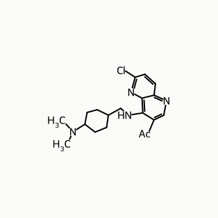 CC(=O)c1cnc2ccc(Cl)nc2c1NCC1CCC(N(C)C)CC1